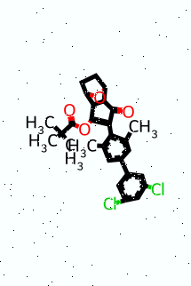 Cc1cc(-c2cc(Cl)cc(Cl)c2)cc(C)c1C1=C(OC(=O)C(C)(C)C)C2C3CCC(O3)C2C1=O